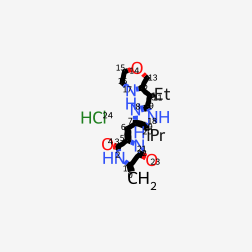 C=c1[nH]c(=O)c(=Cc2nc(C(CC)C3COCCN3)[nH]c2C(C)C)[nH]c1=O.Cl